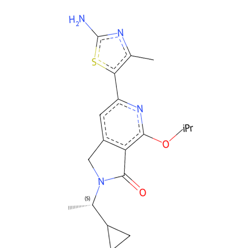 Cc1nc(N)sc1-c1cc2c(c(OC(C)C)n1)C(=O)N([C@@H](C)C1CC1)C2